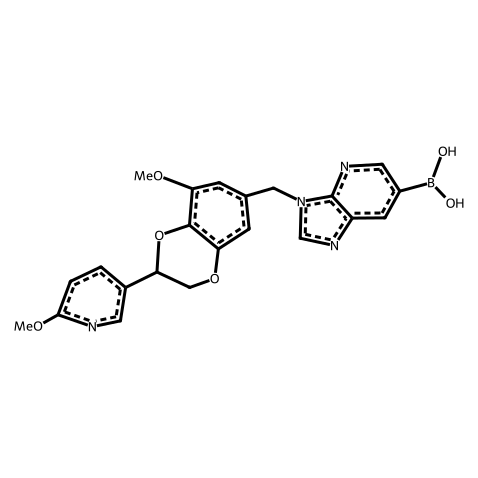 COc1ccc(C2COc3cc(Cn4cnc5cc(B(O)O)cnc54)cc(OC)c3O2)cn1